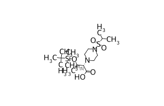 CC(C)S(=O)(=O)N1CCN([C@H](C(=O)O)[C@@H](C)O[Si](C)(C)C(C)(C)C)CC1